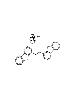 [Cl-].[Cl-].[Zr+2].c1ccc2c(c1)Cc1c(CCc3cccc4c3Cc3ccccc3-4)cccc1-2